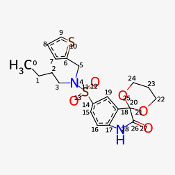 CCCCN(Cc1cccs1)S(=O)(=O)c1ccc2c(c1)C1(OCCCO1)C(=O)N2